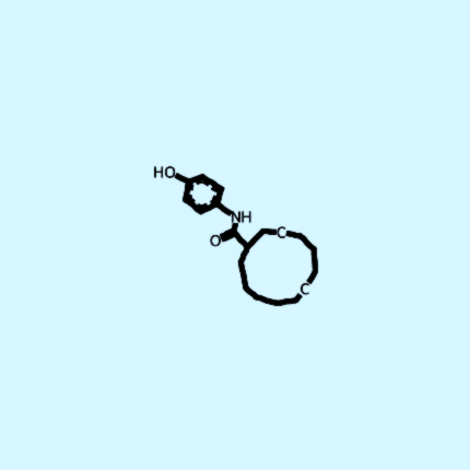 O=C(Nc1ccc(O)cc1)C1CCCCCCCCCCC1